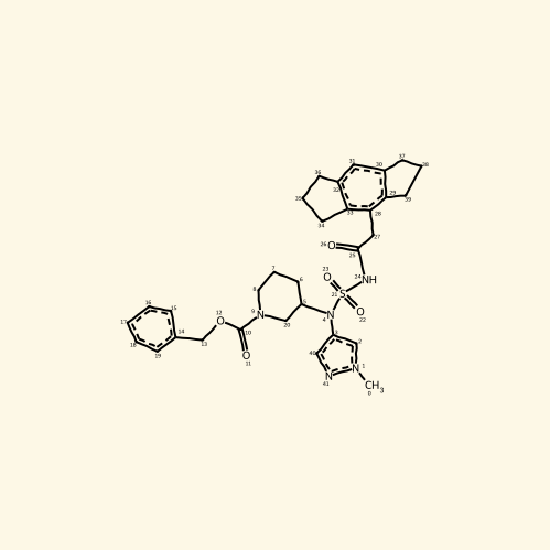 Cn1cc(N(C2CCCN(C(=O)OCc3ccccc3)C2)S(=O)(=O)NC(=O)Cc2c3c(cc4c2CCC4)CCC3)cn1